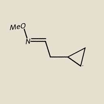 CON=CCC1[CH]C1